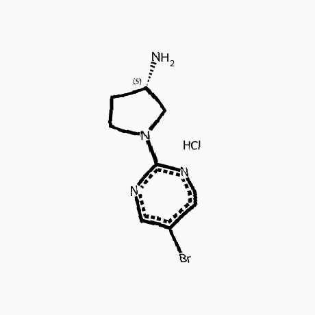 Cl.N[C@H]1CCN(c2ncc(Br)cn2)C1